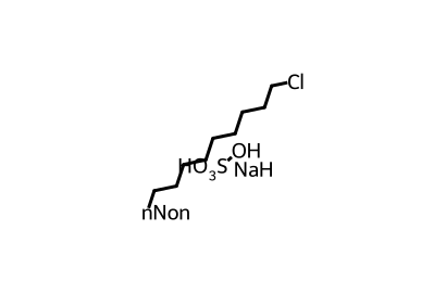 CCCCCCCCCCCCCCCCCCCl.O=S(=O)(O)O.[NaH]